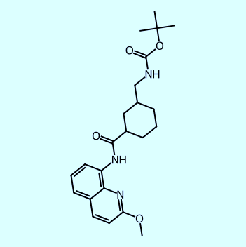 COc1ccc2cccc(NC(=O)C3CCCC(CNC(=O)OC(C)(C)C)C3)c2n1